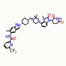 Cc1cc2nn([C@H]3CC[C@H](CN4CCN(c5cccc6c5n(C)c(=O)n6C5CCC(=O)NC5=O)CC4(C)C)CC3)cc2cc1NC(=O)c1cccc(C(F)(F)F)n1